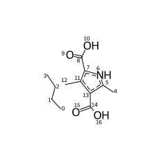 CCCC.Cc1[nH]c(C(=O)O)c(C)c1C(=O)O